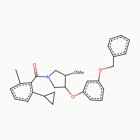 COC1CN(C(=O)c2c(C)cccc2C2CC2)CC1Oc1cccc(OCc2ccccc2)c1